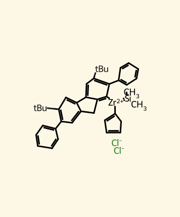 C[Si](C)=[Zr+2]([C]1=CC=CC1)[c]1c2c(cc(C(C)(C)C)c1-c1ccccc1)-c1cc(C(C)(C)C)c(-c3ccccc3)cc1C2.[Cl-].[Cl-]